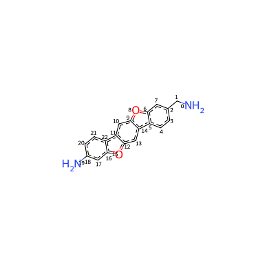 NCc1ccc2c(c1)oc1cc3c(cc12)oc1cc(N)ccc13